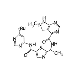 CC(NC(=O)c1ncnc2c1CN(C)N2)c1ncc(C(=O)Nc2cc(C(C)(C)C)ncn2)s1